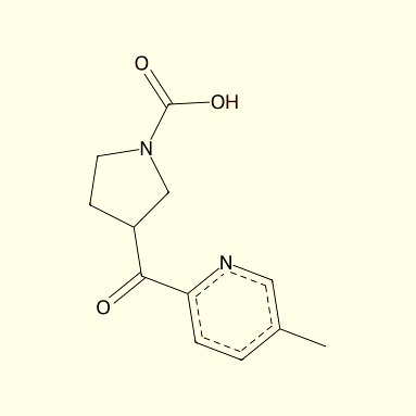 Cc1ccc(C(=O)C2CCN(C(=O)O)C2)nc1